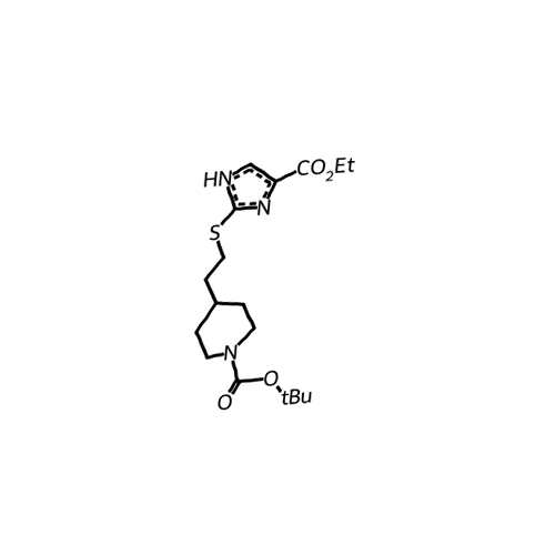 CCOC(=O)c1c[nH]c(SCCC2CCN(C(=O)OC(C)(C)C)CC2)n1